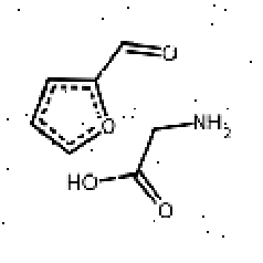 NCC(=O)O.O=Cc1ccco1